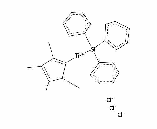 CC1=C(C)C(C)[C]([Ti+3][Si](c2ccccc2)(c2ccccc2)c2ccccc2)=C1C.[Cl-].[Cl-].[Cl-]